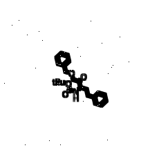 CC(C)(C)OC(=O)NC(CCc1ccccc1)C(=O)COCc1ccccc1